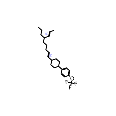 C/C=C/C(CCC)CCC/C=C/C1CCC(c2ccc(OC(F)(F)F)cc2)CC1